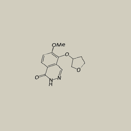 COc1ccc2c(=O)[nH]ncc2c1OC1CCOC1